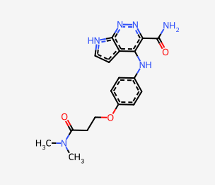 CN(C)C(=O)CCOc1ccc(Nc2c(C(N)=O)nnc3[nH]ccc23)cc1